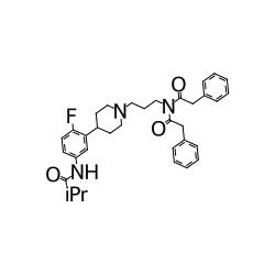 CC(C)C(=O)Nc1ccc(F)c(C2CCN(CCCN(C(=O)Cc3ccccc3)C(=O)Cc3ccccc3)CC2)c1